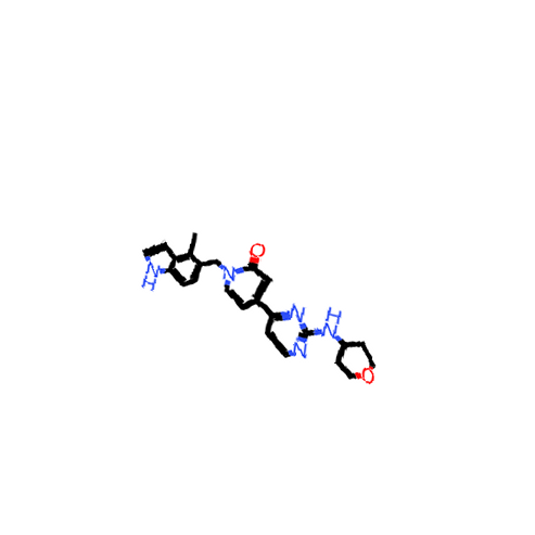 Cc1c(Cn2ccc(-c3ccnc(NC4CCOCC4)n3)cc2=O)ccc2[nH]ccc12